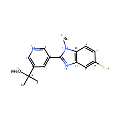 CCC(C)n1c(-c2cncc(C(C)(C)OC)c2)nc2cc(F)ccc21